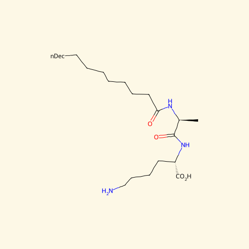 CCCCCCCCCCCCCCCCCC(=O)N[C@@H](C)C(=O)N[C@@H](CCCCN)C(=O)O